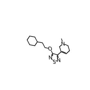 CN1CCC=C(c2nsnc2OCCC2CCCCC2)C1